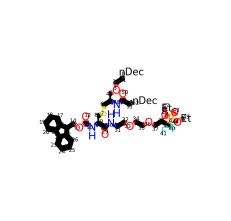 CCCCCCCCCCCCOC[C@H](CSC[C@H](NC(=O)OCC1c2ccccc2-c2ccccc21)C(=O)NCCOCCOCCC(F)(F)P(=O)(OCC)OCC)NC(=O)CCCCCCCCCCC